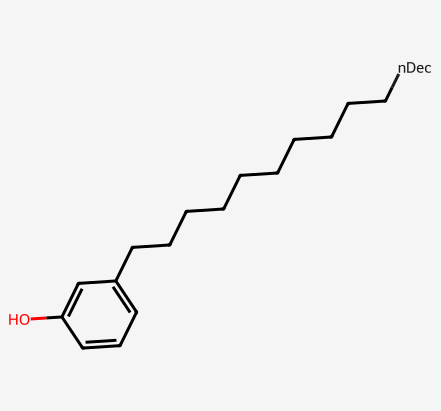 CCCCCCCCCCCCCCCCCCCCc1cccc(O)c1